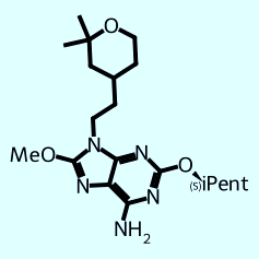 CCC[C@H](C)Oc1nc(N)c2nc(OC)n(CCC3CCOC(C)(C)C3)c2n1